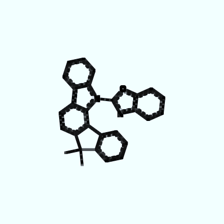 CC1(C)c2ccccc2-c2c1ccc1c3ccccc3n(-c3nc4ccccc4o3)c21